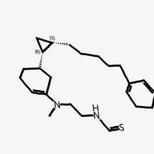 CN(CCNC=S)C1=CCCC([C@@H]2C[C@@H]2CCCCCC2=CCCC=C2)C1